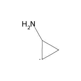 NC1[CH]C1